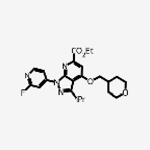 CCOC(=O)c1cc(OCC2CCOCC2)c2c(C(C)C)nn(-c3ccnc(F)c3)c2n1